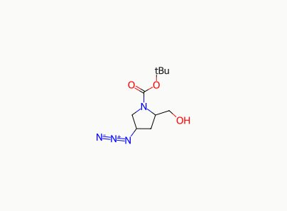 CC(C)(C)OC(=O)N1CC(N=[N+]=[N-])CC1CO